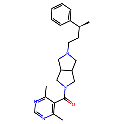 Cc1ncnc(C)c1C(=O)N1CC2CN(CC[C@H](C)c3ccccc3)CC2C1